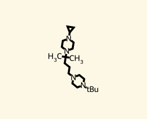 CC(C)(C)N1CCN(CCCC(C)(C)N2CCN(C3CC3)CC2)CC1